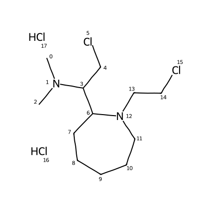 CN(C)C(CCl)C1CCCCCN1CCCl.Cl.Cl